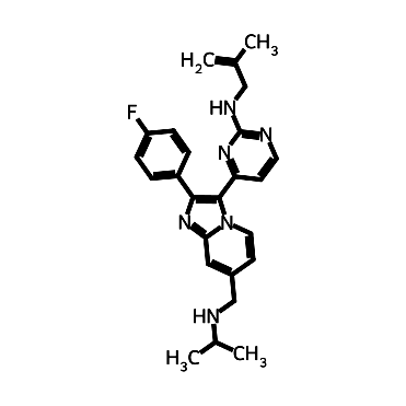 C=C(C)CNc1nccc(-c2c(-c3ccc(F)cc3)nc3cc(CNC(C)C)ccn23)n1